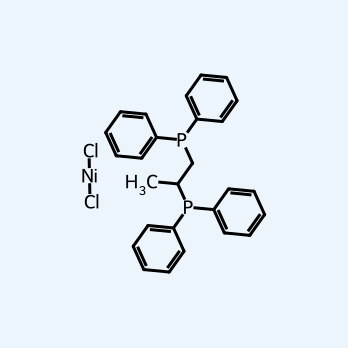 CC(CP(c1ccccc1)c1ccccc1)P(c1ccccc1)c1ccccc1.[Cl][Ni][Cl]